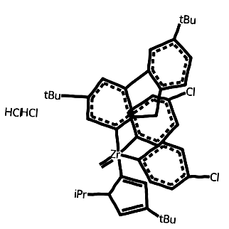 Cl.Cl.[CH2]=[Zr]([C]1=CC(C(C)(C)C)=CC1C(C)C)([c]1ccc(Cl)cc1)([c]1ccc(Cl)cc1)[c]1cc(C(C)(C)C)cc2c1Cc1ccc(C(C)(C)C)cc1-2